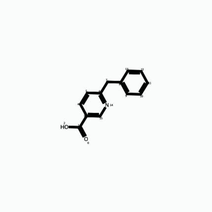 O=C(O)c1ccc(Cc2ccccc2)nc1